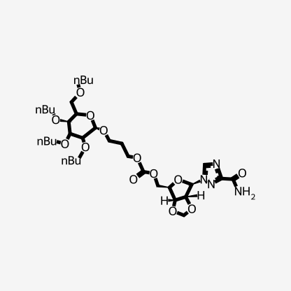 CCCCOCC1O[C@@H](OCCCOC(=O)OC[C@H]2O[C@@H](n3cnc(C(N)=O)n3)[C@@H]3OCO[C@@H]32)C(OCCCC)C(OCCCC)[C@H]1OCCCC